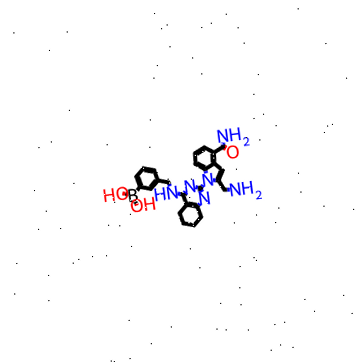 NCc1cc2c(C(N)=O)cccc2n1-c1nc2c(c(NCc3cccc(B(O)O)c3)n1)CCCC2